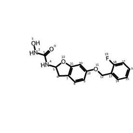 O=C(NO)NC1Cc2ccc(OCc3ccccc3F)cc2O1